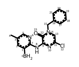 Bc1cc(C)cnc1Nc1nc(Cl)cn(Cc2ccccc2)c1=O